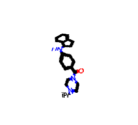 CC(C)N1CCN(C(=O)C2CCC(NC3CCc4ccccc43)CC2)CC1